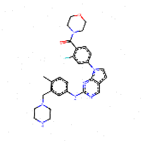 Cc1ccc(Nc2ncc3ccn(-c4ccc(C(=O)N5CCOCC5)c(F)c4)c3n2)cc1CN1CCNCC1